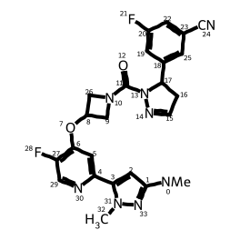 CNc1cc(-c2cc(OC3CN(C(=O)N4N=CCC4c4cc(F)cc(C#N)c4)C3)c(F)cn2)n(C)n1